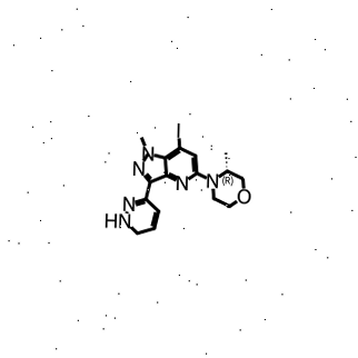 C[C@@H]1COCCN1c1cc(I)c2c(n1)c(C1=NNCC=C1)nn2C